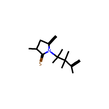 C=C1CC(C)C(=S)N1C(C)(C)C(C)(C)C(=C)C